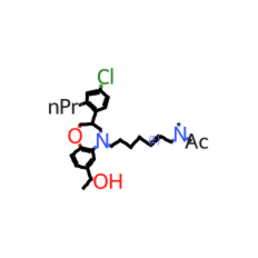 CCCc1cc(Cl)ccc1C1COc2ccc(C(C)O)cc2N(CCCC/C=C/CN(C)C(C)=O)C1